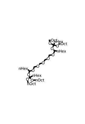 CCCCCCCCOC(CCCCCC)(OCCCCCCCC)OC(CCCCCC)OCOCOCOCOC(CCCCCC)OC(CCCCCC)(OCCCCCCCC)OCCCCCCCC